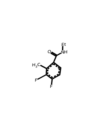 CCNC(=O)c1ccc(F)c(F)c1C